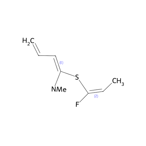 C=C/C=C(\NC)S/C(F)=C\C